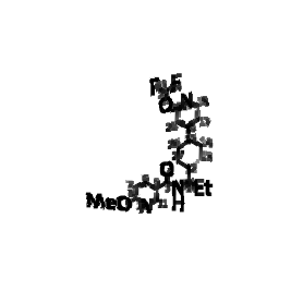 CC[C@@H](NC(=O)c1ccc(OC)nc1)[C@H]1CC[C@H](c2ccnc(OC(F)F)c2)CC1